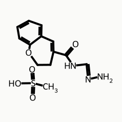 CS(=O)(=O)O.NN=CNC(=O)C1=Cc2ccccc2OCC1